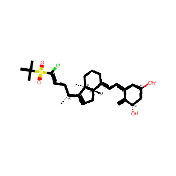 C=C1/C(=C\C=C2/CCC[C@]3(C)C([C@H](C)C/C=C(\Cl)S(=O)(=O)C(C)(C)C)=CC[C@@H]23)C[C@@H](O)C[C@@H]1O